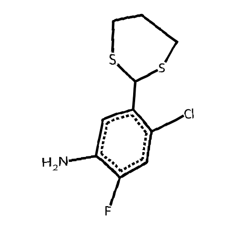 Nc1cc(C2SCCCS2)c(Cl)cc1F